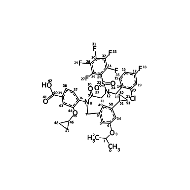 CC(C)Oc1cc(CN(C(=O)CN(Cc2ccc(F)cc2Cl)S(=O)(=O)c2c(F)c(F)c(F)c(F)c2F)c2ccc(C(=O)O)cc2OC2CC2)cc(C2CC2)c1